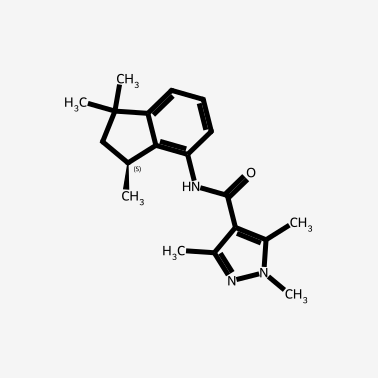 Cc1nn(C)c(C)c1C(=O)Nc1cccc2c1[C@@H](C)CC2(C)C